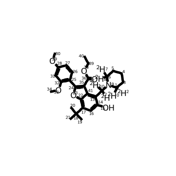 [2H]C1([2H])CCCC([2H])([2H])N1C([2H])([2H])c1c(O)cc(C(C)(C)C)c2oc(-c3ccc(OC)cc3OC)c(C(=O)OCC)c12